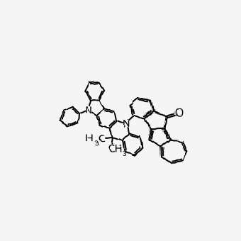 CC1(C)c2ccccc2N(c2cccc3c2-c2cc4cccccc-4c2C3=O)c2cc3c4ccccc4n(-c4ccccc4)c3cc21